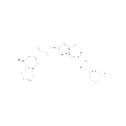 O=C(NCc1cn2cc(CNc3cccc(Cl)c3)ccc2n1)c1cc(=O)n2ccccc2n1